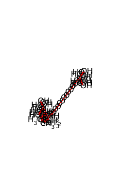 CN(CC(=O)NCCN(C[C@H](O)[C@@H](O)[C@H](O)[C@H](O)CO)C[C@H](O)[C@@H](O)[C@H](O)[C@H](O)CO)C(=O)CN(C)C(=O)CN(C)C(=O)CN(C)C(=O)CN(C)C(=O)C(N)CCCNC(=O)CCOCCOCCOCCOCCOCCOCCOCCOCCOCCOCCOCCOCCN(C[C@H](O)[C@@H](O)[C@H](O)[C@H](O)CO)C[C@H](O)[C@@H](O)[C@H](O)[C@H](O)CO